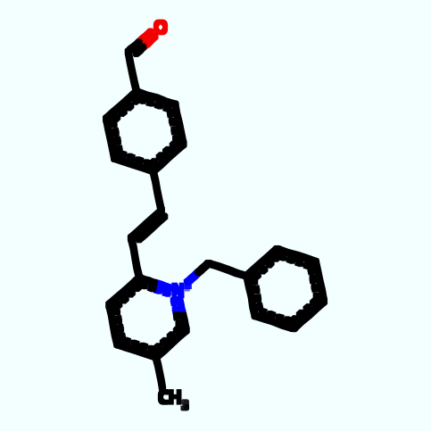 Cc1ccc(C=Cc2ccc(C=O)cc2)[n+](Cc2ccccc2)c1